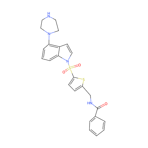 O=C(NCc1ccc(S(=O)(=O)n2ccc3c(N4CCNCC4)cccc32)s1)c1ccccc1